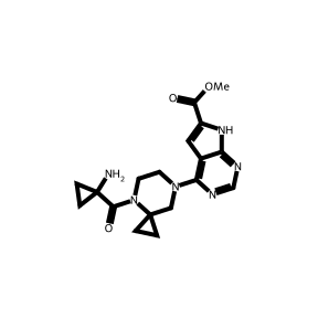 COC(=O)c1cc2c(N3CCN(C(=O)C4(N)CC4)C4(CC4)C3)ncnc2[nH]1